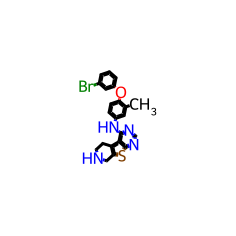 Cc1cc(Nc2ncnc3sc4c(c23)CCNC4)ccc1Oc1cccc(Br)c1